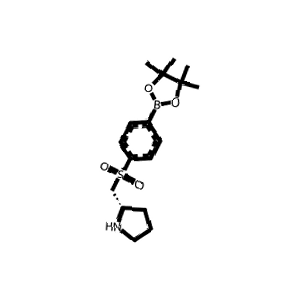 CC1(C)OB(c2ccc(S(=O)(=O)C[C@@H]3CCCN3)cc2)OC1(C)C